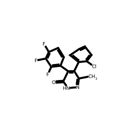 Cc1n[nH]c(=O)c(-c2ccc(F)c(F)c2F)c1-c1ccccc1Cl